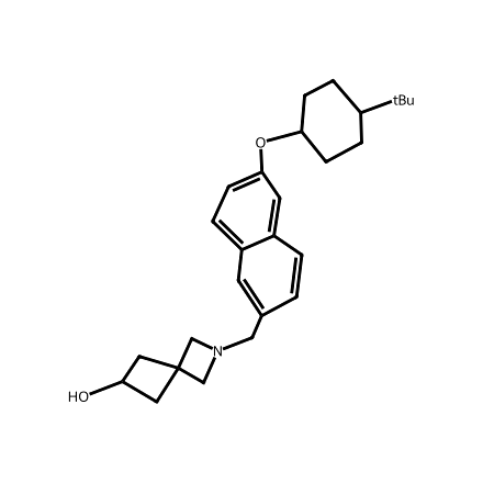 CC(C)(C)C1CCC(Oc2ccc3cc(CN4CC5(CC(O)C5)C4)ccc3c2)CC1